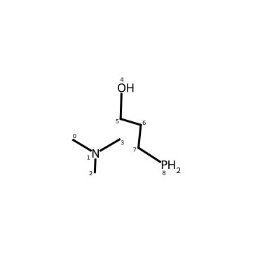 CN(C)C.OCCCP